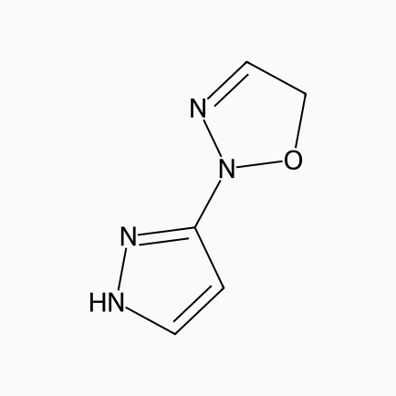 C1=NN(c2cc[nH]n2)OC1